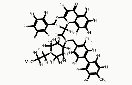 [2H]c1c([2H])c(F)c(F)c(CSc2c([2H])c(=O)c3c([2H])c([2H])c([2H])c([2H])c3n2C([2H])([2H])C(=O)N(Cc2c([2H])c([2H])c(-c3c([2H])c([2H])c(C(F)(F)F)c([2H])c3[2H])c([2H])c2C)C2([2H])C([2H])([2H])C([2H])([2H])N(C([2H])([2H])C([2H])([2H])OC)C([2H])([2H])C2([2H])[2H])c1[2H]